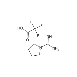 N=C(N)N1CCCC1.O=C(O)C(F)(F)F